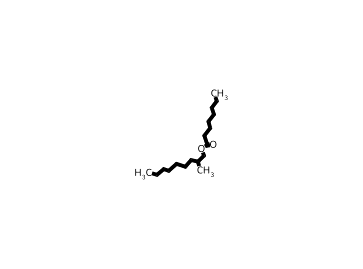 CCCCCCCC(=O)OCC(C)CCCCCCC